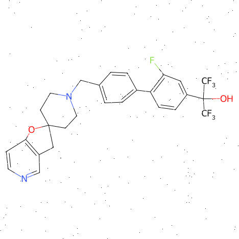 OC(c1ccc(-c2ccc(CN3CCC4(CC3)Cc3cnccc3O4)cc2)c(F)c1)(C(F)(F)F)C(F)(F)F